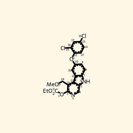 CCOC(=O)Oc1ncc2[nH]c3ccc(Oc4ccc(Cl)cc4Cl)cc3c2c1COC